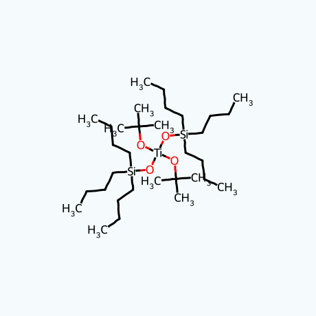 CCCC[Si](CCCC)(CCCC)[O][Ti]([O]C(C)(C)C)([O]C(C)(C)C)[O][Si](CCCC)(CCCC)CCCC